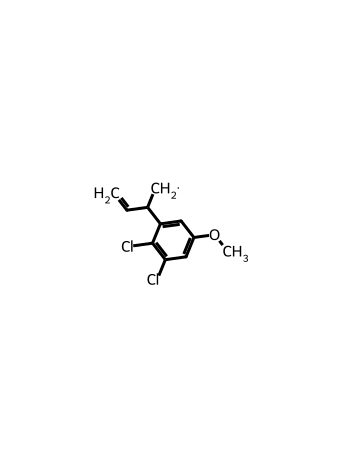 [CH2]C(C=C)c1cc(OC)cc(Cl)c1Cl